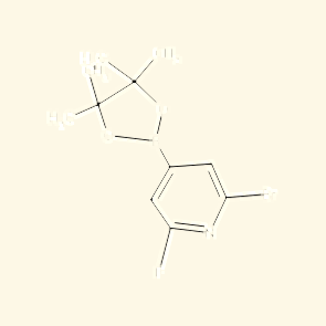 CC1(C)OB(c2cc(F)nc(Br)c2)OC1(C)C